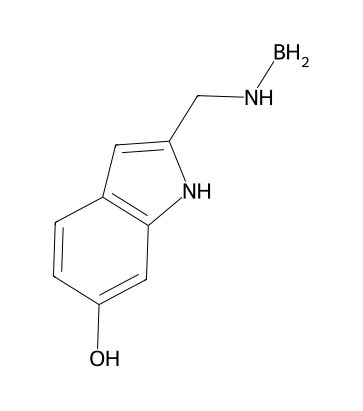 BNCc1cc2ccc(O)cc2[nH]1